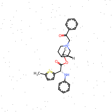 Cc1ccc([C@@H](Nc2ccccc2)C(=O)O[C@H]2C[N+]3(CC(=O)c4ccccc4)CCC2CC3)s1